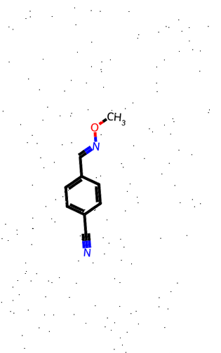 CON=Cc1ccc(C#N)cc1